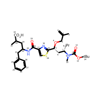 C=C(C)CO[C@H](C[C@H](C(C)C)N(C)C(=O)OC(C)(C)C)c1nc(C(=O)NC(Cc2ccccc2)CC(C)C(=O)O)cs1